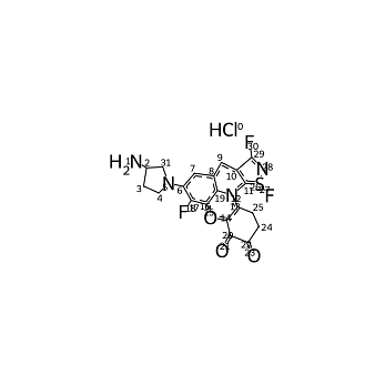 Cl.NC1CCN(c2cc3cc4c(n5c6c(oc(c2F)c3-5)C(=O)C(=O)CC6)=S(F)N=C4F)C1